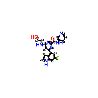 O=C(Nc1cccnc1)c1nc(NCCO)cc(-c2cc(F)cc3[nH]ccc23)n1